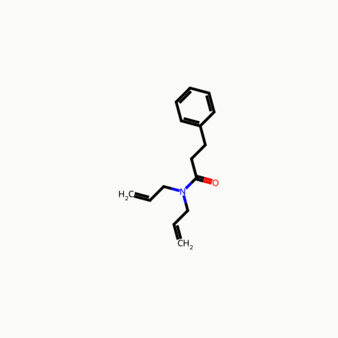 C=CCN(CC=C)C(=O)CCc1ccccc1